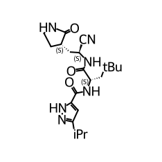 CC(C)c1cc(C(=O)N[C@@H](CC(C)(C)C)C(=O)N[C@H](C#N)C[C@@H]2CCNC2=O)[nH]n1